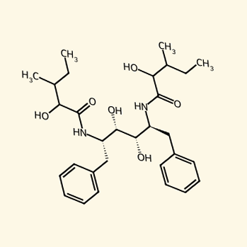 CCC(C)C(O)C(=O)N[C@@H](Cc1ccccc1)[C@H](O)[C@@H](O)[C@H](Cc1ccccc1)NC(=O)C(O)C(C)CC